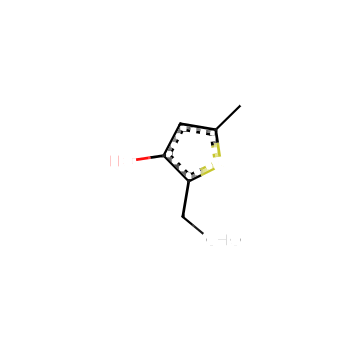 Cc1cc(O)c(CC=O)s1